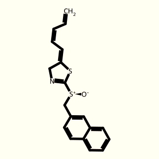 C=C/C=C\C=C1/CN=C([S@@+]([O-])Cc2ccc3ccccc3c2)S1